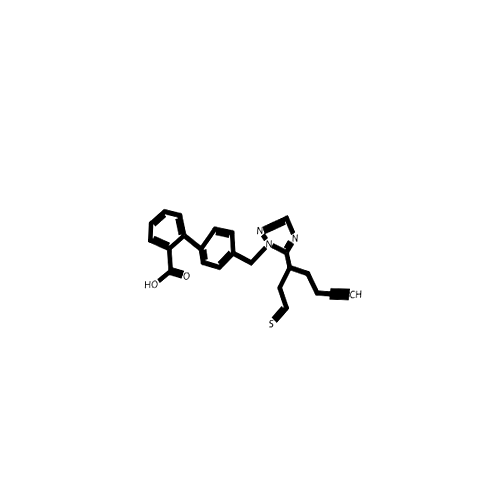 C#CCCC(CC=S)c1ncnn1Cc1ccc(-c2ccccc2C(=O)O)cc1